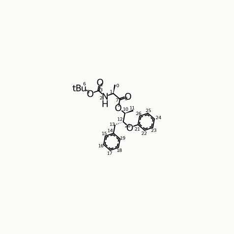 C[C@H](NC(=O)OC(C)(C)C)C(=O)O[C@@H](C)[C@@H](Cc1ccccc1)Oc1ccccc1